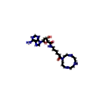 Nc1ncnc2c1ncn2[C@H]1C[C@H](O)[C@@H](C(=O)NCCCCCC(=O)N2CCCNCCNCCCNCC2)O1